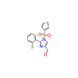 O=Cc1cn(S(=O)(=O)c2ccsc2)c(-c2ccccc2F)n1